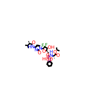 CC(C)OC(=O)[C@H](C)N[PH](O)(OC[C@H]1OC(n2ccc(NC(=O)[C@H](C)C(C)C)nc2=O)C(F)(F)[C@@H]1O)Oc1ccccc1